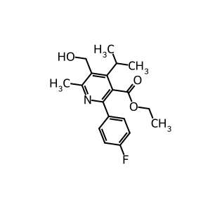 CCOC(=O)c1c(-c2ccc(F)cc2)nc(C)c(CO)c1C(C)C